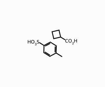 Cc1ccc(S(=O)(=O)O)cc1.O=C(O)C1CCC1